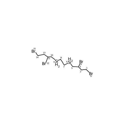 BrCCC(Br)C[SiH2]CC[SiH2]CC(Br)CCBr